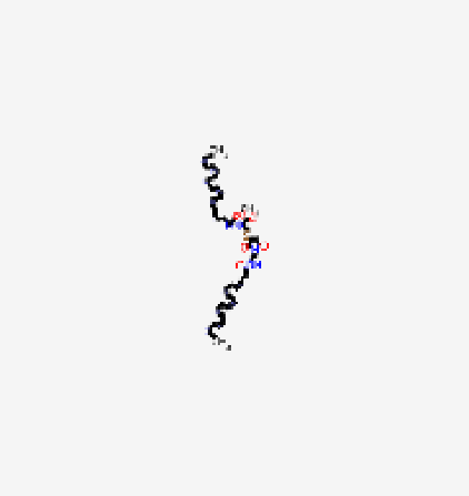 CC/C=C\C/C=C\C/C=C\C/C=C\C/C=C\C/C=C\CCC(=O)NCCN1C(=O)C[C@@H](SCC(NC(=O)CC/C=C\C/C=C\C/C=C\C/C=C\C/C=C\C/C=C\CC)C(=O)OC)C1=O